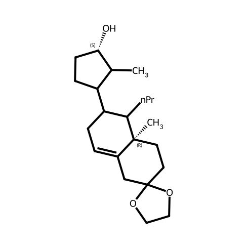 CCCC1C(C2CC[C@H](O)C2C)CC=C2CC3(CC[C@@]21C)OCCO3